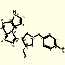 CC[C@H]1CN(Cc2ccc(N)cc2)C[C@H]1c1nnc2cnc3[nH]ccc3n12